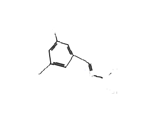 CC(C)(C)[S@@+]([O-])/N=C/c1cc(I)cc(C(F)(F)F)c1